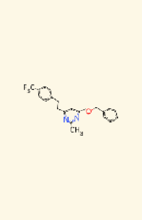 Cc1nc(CCc2ccc(C(F)(F)F)cc2)cc(COCc2ccccc2)n1